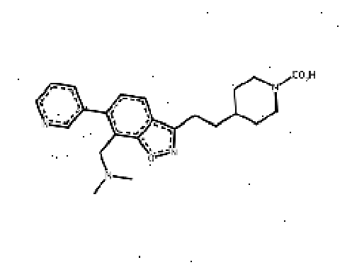 CN(C)Cc1c(-c2cccnc2)ccc2c(CCC3CCN(C(=O)O)CC3)noc12